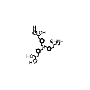 OC[C@@H](Cc1cccc(CN(Cc2cccc(C[C@H](CO)[C@H]3CCNC3)c2)Cc2cccc(C[C@H](CO)[C@H]3CCNC3)c2)c1)[C@H]1CCNC1